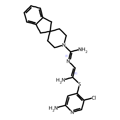 N/C(=C\N=C(/N)N1CCC2(CC1)Cc1ccccc1C2)Sc1cc(N)ncc1Cl